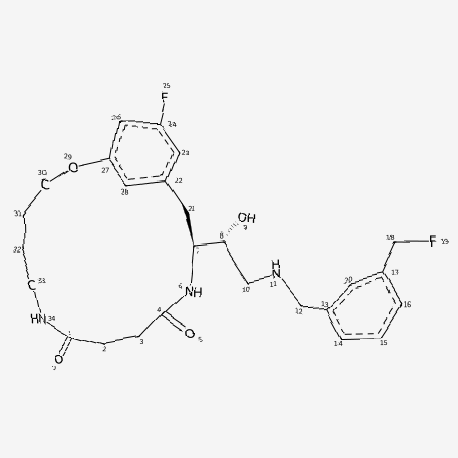 O=C1CCC(=O)N[C@H]([C@H](O)CNCc2cccc(CF)c2)Cc2cc(F)cc(c2)OCCCCN1